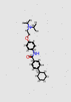 CC(C)N(CCOc1ccc(NC(=O)c2ccc(C3CCCCC3)cc2)cc1)C(C)C